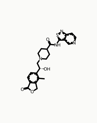 Cc1c([C@@H](O)CN2CCC(C(=O)Nc3snc4ccncc34)CC2)ccc2c1COC2=O